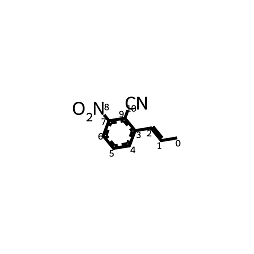 C/C=C/c1cccc([N+](=O)[O-])c1C#N